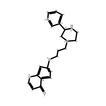 O=c1ccoc2cc(OCCCN3CCNC(c4cccnc4)C3)ccc12